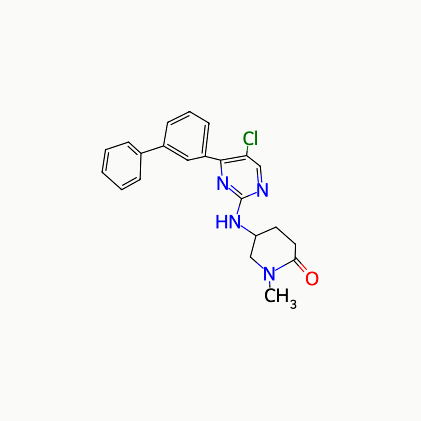 CN1CC(Nc2ncc(Cl)c(-c3cccc(-c4ccccc4)c3)n2)CCC1=O